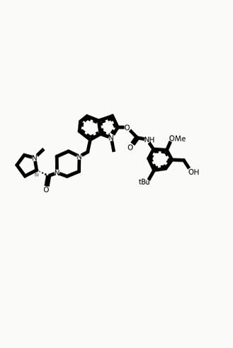 COc1c(CO)cc(C(C)(C)C)cc1NC(=O)Oc1cc2cccc(CN3CCN(C(=O)[C@@H]4CCCN4C)CC3)c2n1C